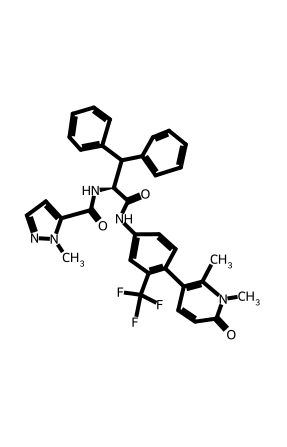 Cc1c(-c2ccc(NC(=O)[C@@H](NC(=O)c3ccnn3C)C(c3ccccc3)c3ccccc3)cc2C(F)(F)F)ccc(=O)n1C